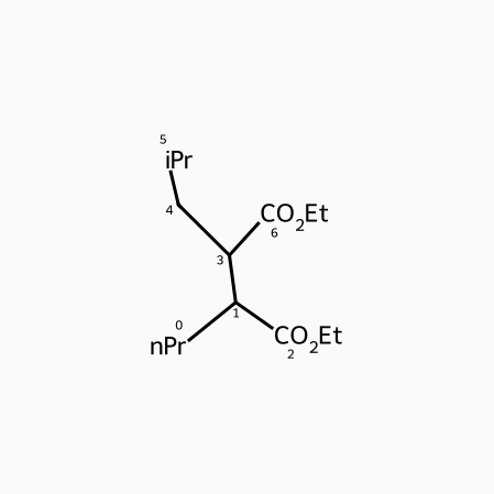 CCCC(C(=O)OCC)C(CC(C)C)C(=O)OCC